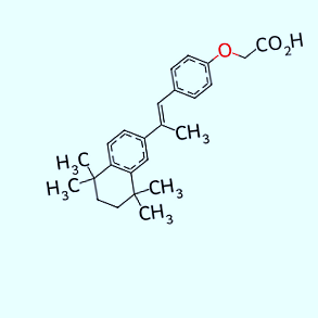 CC(=Cc1ccc(OCC(=O)O)cc1)c1ccc2c(c1)C(C)(C)CCC2(C)C